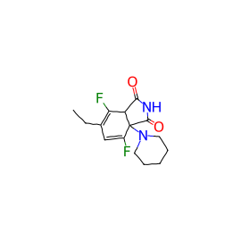 CCC1=C(F)C2C(=O)NC(=O)C2(N2CCCCC2)C(F)=C1